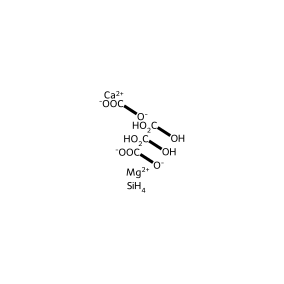 O=C(O)O.O=C(O)O.O=C([O-])[O-].O=C([O-])[O-].[Ca+2].[Mg+2].[SiH4]